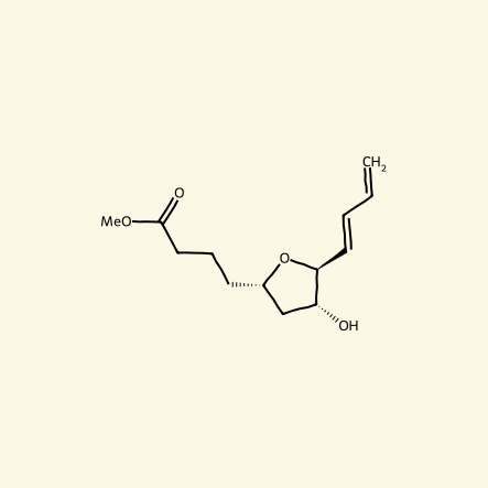 C=C/C=C/[C@@H]1O[C@@H](CCCC(=O)OC)C[C@H]1O